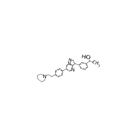 CC(O)c1cccc(-c2cnn3cc(-c4ccc(CCN5CCCCC5)cc4)cnc23)c1